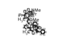 CC[C@H](C)[C@@H]([C@@H](CC(=O)N1CCC[C@H]1[C@H](OC)[C@@H](C)C(=O)N[C@@]1(C(=O)N2CCCCO2)C[C@H]1c1ccccc1)OC)N(C)[C@H](C(=O)NC(=O)[C@@H](NC)C(C)C)C(C)C